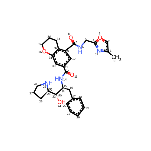 Cc1coc(CNC(=O)c2cc(C(=O)N[C@@H](Cc3ccccc3)[C@H](O)[C@H]3CCCN3)cc3c2CCCO3)n1